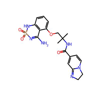 CC(C)(COc1cccc2c1C(N)=NS(=O)(=O)N2)NC(=O)C1=CC2=NCCN2C=C1